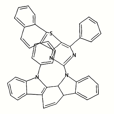 C1=CC2c3ccccc3N(c3nc(-c4ccccc4)c4sc5c6ccccc6ccc5c4n3)C2c2c1c1ccccc1n2-c1ccccc1